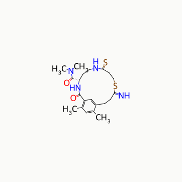 Cc1cc(C)c2cc1CCC(=N)SCCC(=S)NCC[C@@H](C(=O)N(C)C)NC2=O